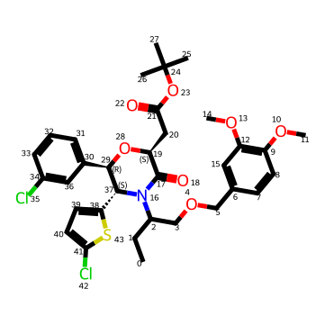 CCC(COCc1ccc(OC)c(OC)c1)N1C(=O)[C@H](CC(=O)OC(C)(C)C)O[C@H](c2cccc(Cl)c2)[C@H]1c1ccc(Cl)s1